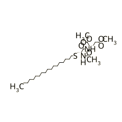 CCCCCCCCCCCCCCCCCCSC[C@@H](NC(C)=O)C(=O)N[C@@H](CCC(=O)OC)C(=O)OC